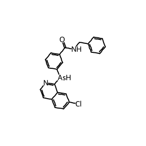 O=C(NCc1ccccc1)c1cccc([AsH]c2nccc3ccc(Cl)cc23)c1